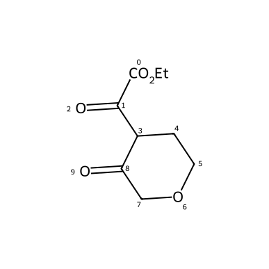 CCOC(=O)C(=O)C1CCOCC1=O